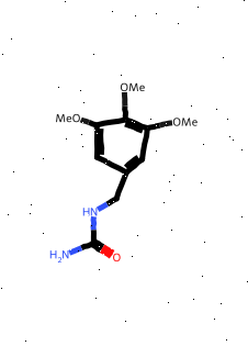 COc1cc(CNC(N)=O)cc(OC)c1OC